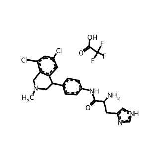 CN1Cc2c(Cl)cc(Cl)cc2C(c2ccc(NC(=O)[C@@H](N)Cc3c[nH]cn3)cc2)C1.O=C(O)C(F)(F)F